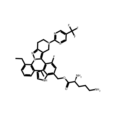 CCc1cccc(CC)c1-n1nc2c(c1-c1c(F)cc(COC(=O)[C@@H](N)CCCN)c3[nH]ccc13)CN(c1ncc(C(F)(F)F)cn1)CC2